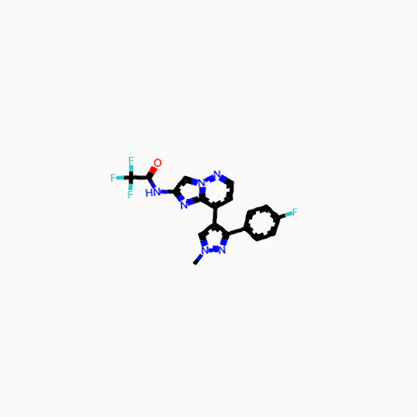 Cn1cc(-c2ccnn3cc(NC(=O)C(F)(F)F)nc23)c(-c2ccc(F)cc2)n1